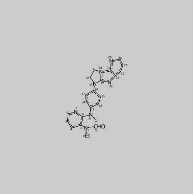 CCN(C=O)c1cccnc1N(C)c1ccc(N2CCn3c2nc2cccnc23)cc1